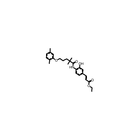 CCOC(=O)C=Cc1ccc(NC(=O)C(C)(C)CCCOc2cc(C)ccc2C)c(O)c1